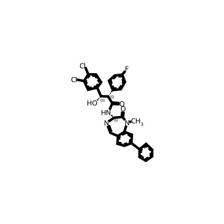 CN1C(=O)[C@@H](NC(=O)[C@@H](c2ccc(F)cc2)[C@H](O)c2ccc(Cl)c(Cl)c2)N=Cc2ccc(-c3ccccc3)cc21